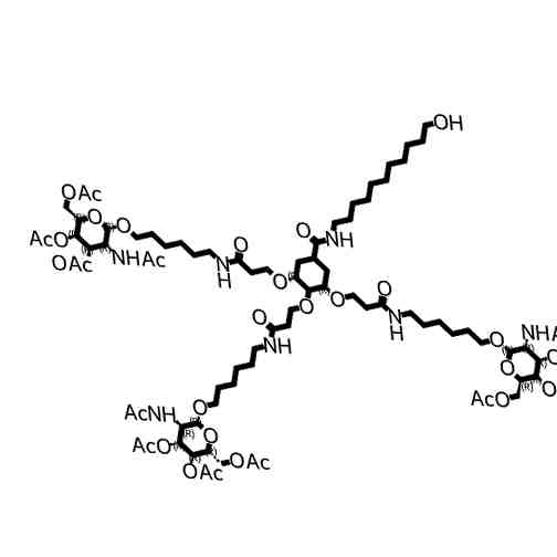 CC(=O)N[C@H]1[C@H](OCCCCCCNC(=O)CCOC2[C@H](OCCC(=O)NCCCCCCO[C@@H]3O[C@H](COC(C)=O)[C@H](OC(C)=O)[C@H](OC(C)=O)[C@H]3NC(C)=O)CC(C(=O)NCCCCCCCCCCCO)C[C@H]2OCCC(=O)NCCCCCCO[C@@H]2O[C@H](COC(C)=O)[C@H](OC(C)=O)[C@H](OC(C)=O)[C@H]2NC(C)=O)O[C@H](COC(C)=O)[C@H](OC(C)=O)[C@@H]1OC(C)=O